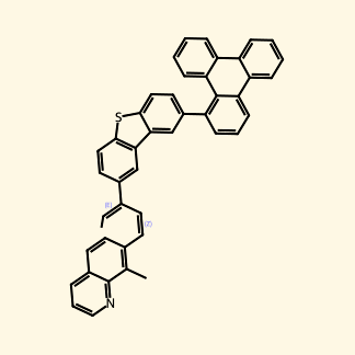 C/C=C(\C=C/c1ccc2cccnc2c1C)c1ccc2sc3ccc(-c4cccc5c6ccccc6c6ccccc6c45)cc3c2c1